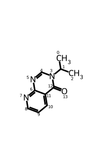 CC(C)n1cnc2ncccc2c1=O